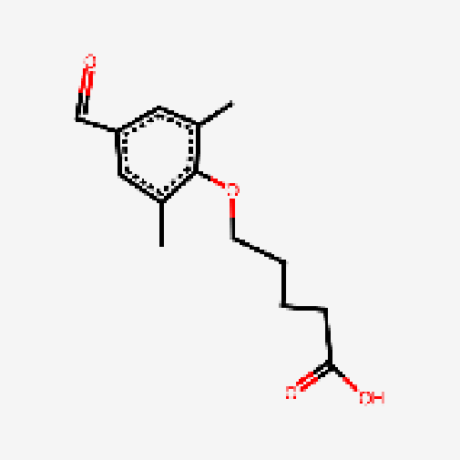 Cc1cc(C=O)cc(C)c1OCCCCC(=O)O